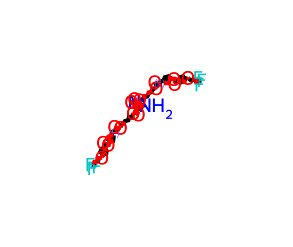 Nc1cc(C(=O)OCCCCCCOC(=O)/C=C/c2ccc(OC(=O)c3ccc(OCCCC(F)(F)F)cc3)cc2)cc([N+](=O)[O-])c1OCCCCCCOC(=O)/C=C/c1ccc(OC(=O)c2ccc(OCCCC(F)(F)F)cc2)cc1